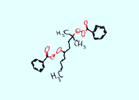 CCCCC(CCC(C)(C)OOC(=O)c1ccccc1)OOC(=O)c1ccccc1